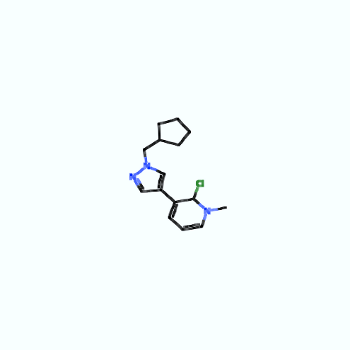 CN1C=CC=C(c2cnn(CC3CCCC3)c2)C1Cl